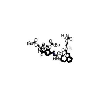 C/C(=C\C(=O)N[C@H]1CCc2cccc3c2N(C1=O)C(C(=O)NCCOC(N)=O)C3)c1ccc(C(F)(F)P(=O)(OCOC(=O)C(C)(C)C)OCOC(=O)C(C)(C)C)cc1